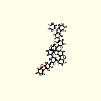 c1ccc(-c2cc(-c3cccc4oc5ccc(-c6cccc7oc8c(-c9ccc%10c(c9)c9ccccc9n%10-c9ccccc9)cccc8c67)cc5c34)cc(-c3ccc4c(c3)oc3ccccc34)n2)cc1